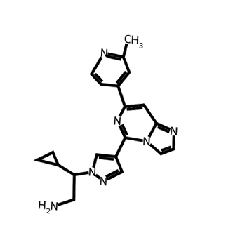 Cc1cc(-c2cc3nccn3c(-c3cnn(C(CN)C4CC4)c3)n2)ccn1